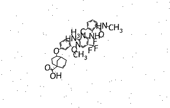 CNC(=O)c1cccc(C)c1Nc1nc(Nc2ccc(OC3CCC4(C(=O)O)C=CCC3C4)cc2OC)ncc1C(F)(F)F